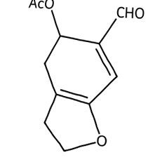 CC(=O)OC1CC2=C(C=C1C=O)OCC2